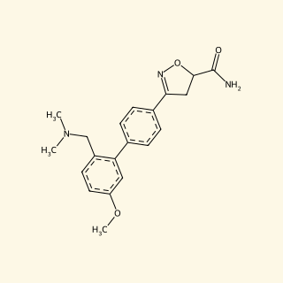 COc1ccc(CN(C)C)c(-c2ccc(C3=NOC(C(N)=O)C3)cc2)c1